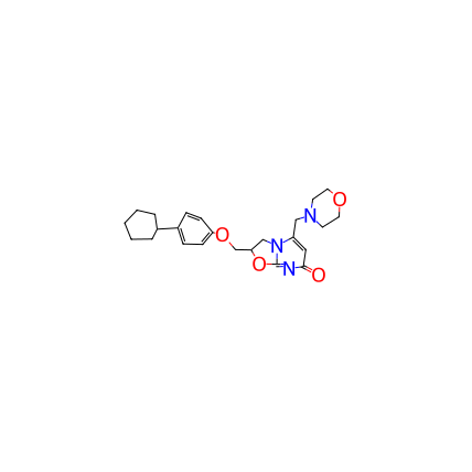 O=c1cc(CN2CCOCC2)n2c(n1)OC(COc1ccc(C3CCCCC3)cc1)C2